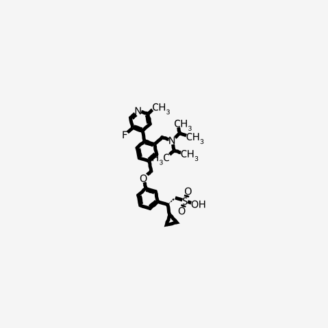 Cc1cc(-c2ccc(COc3cccc([C@H](CS(=O)(=O)O)C4CC4)c3)cc2CN(C(C)C)C(C)C)c(F)cn1